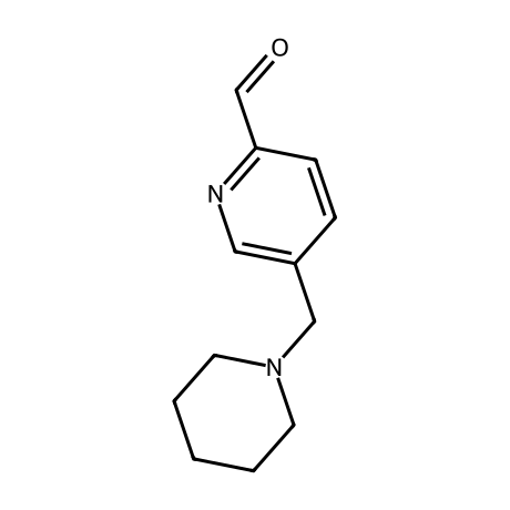 O=Cc1ccc(CN2CCCCC2)cn1